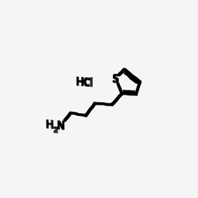 Cl.NCCCCc1cccs1